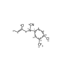 CC=C(Cl)CN(C#N)c1ccc(Cl)c(C(F)(F)F)c1